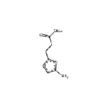 CC(C)COC(=O)CCn1ccc(N)n1